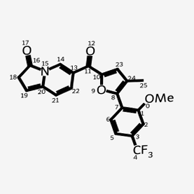 COc1cc(C(F)(F)F)ccc1-c1oc(C(=O)C2=CN3C(=O)CC=C3C=C2)cc1C